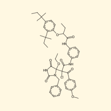 CCOC1(C(Cl)(C(=O)Nc2cccc(NC(=O)C(CC)Oc3ccc(C(C)(C)CC)cc3C(C)(C)CC)c2)C(=O)c2ccc(OC)cc2)C(=O)NC(=O)N1Cc1ccccc1